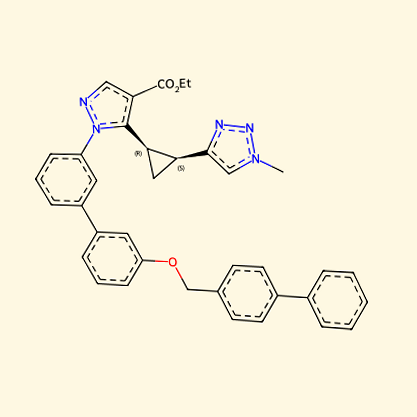 CCOC(=O)c1cnn(-c2cccc(-c3cccc(OCc4ccc(-c5ccccc5)cc4)c3)c2)c1[C@@H]1C[C@@H]1c1cn(C)nn1